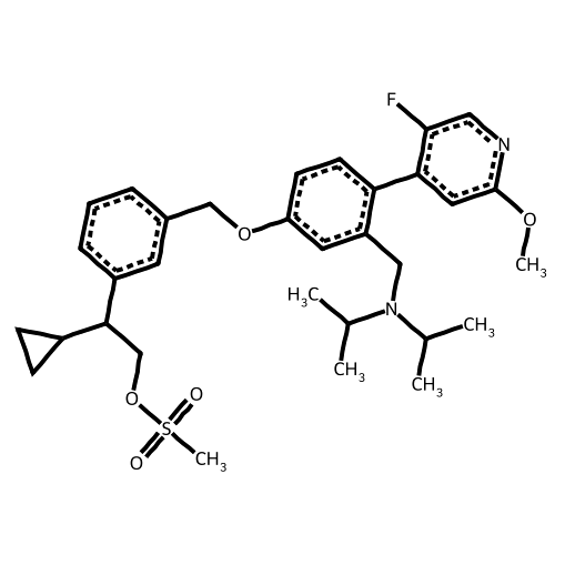 COc1cc(-c2ccc(OCc3cccc(C(COS(C)(=O)=O)C4CC4)c3)cc2CN(C(C)C)C(C)C)c(F)cn1